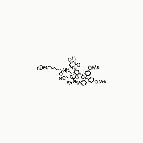 CCCCCCCCCCCCCCCC(=O)NCCC[C@@H]1[C@H](OP(OCCC#N)N(C(C)C)C(C)C)[C@@H](COC(c2ccccc2)(c2ccc(OC)cc2)c2ccc(OC)cc2)C[C@H]1n1ccc(=O)[nH]c1=O